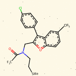 CSCCN(Cc1oc2ccc(C)cc2c1-c1ccc(Cl)cc1)C(=O)C(F)(F)F